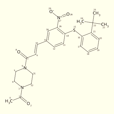 CC(=O)N1CCN(C(=O)/C=C/c2ccc(Sc3ccccc3C(C)(C)C)c([N+](=O)[O-])c2)CC1